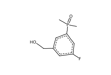 CP(C)(=O)c1cc(F)cc(CO)c1